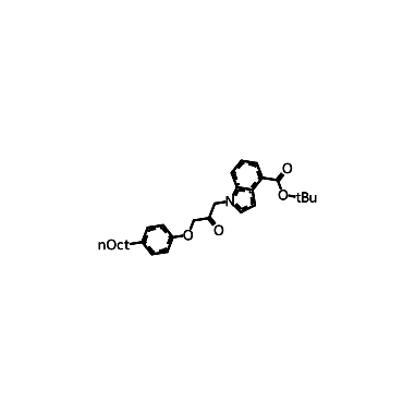 CCCCCCCCc1ccc(OCC(=O)Cn2ccc3c(C(=O)OC(C)(C)C)cccc32)cc1